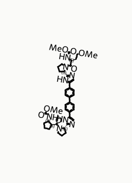 COCC[C@H](NC(=O)OC)C(=O)N1CCC[C@H]1c1ncc(-c2ccc(-c3ccc(-c4cnc([C@@H]5CCCN5C(=O)[C@H]5CCC[C@@H]5NC(=O)OC)[nH]4)cc3)cc2)[nH]1